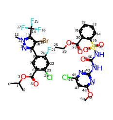 CC(C)OC(=O)c1cc(-c2nn(C)c(C(F)(F)F)c2Br)c(F)cc1Cl.CCOC(=O)c1ccccc1S(=O)(=O)NC(=O)Nc1nc(Cl)cc(OC)n1